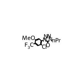 CCCn1nnn(-c2cc(OC)c(C(F)(F)F)cc2Cl)c1=O